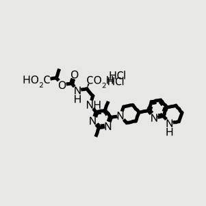 Cc1nc(NC[C@H](NC(=O)OC(C)C(=O)O)C(=O)O)c(C)c(N2CCC(c3ccc4c(n3)NCCC4)CC2)n1.Cl.Cl